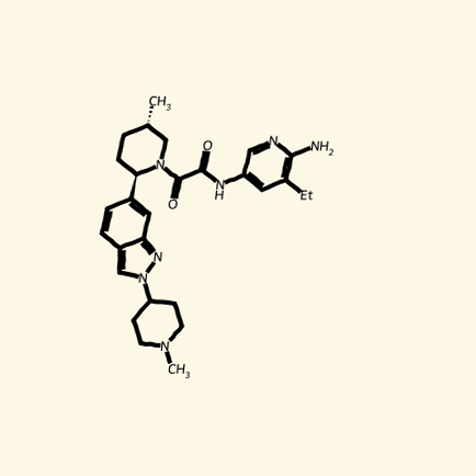 CCc1cc(NC(=O)C(=O)N2C[C@@H](C)CC[C@@H]2c2ccc3cn(C4CCN(C)CC4)nc3c2)cnc1N